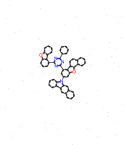 c1ccc(-c2nc(-c3cccc4oc5ccccc5c34)nc(-c3cc(-n4c5ccccc5c5cc6ccccc6cc54)cc4oc5c6ccccc6ccc5c34)n2)cc1